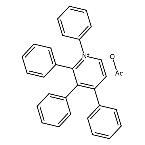 CC(=O)[O-].c1ccc(-c2cc[n+](-c3ccccc3)c(-c3ccccc3)c2-c2ccccc2)cc1